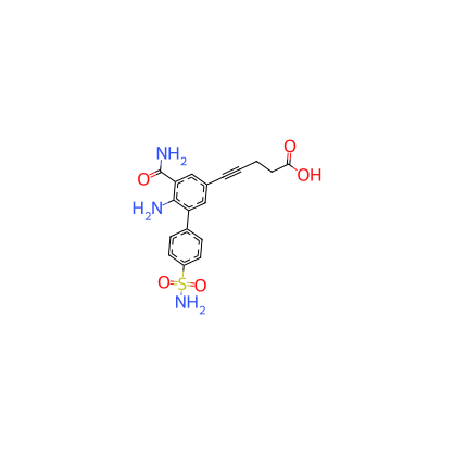 NC(=O)c1cc(C#CCCC(=O)O)cc(-c2ccc(S(N)(=O)=O)cc2)c1N